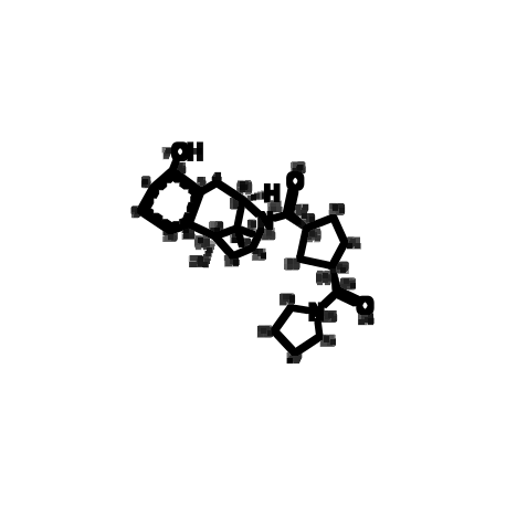 CC1(C)[C@H]2Cc3c(O)cccc3[C@]1(C)CCN2C(=O)[C@H]1CC[C@@H](C(=O)N2CCCC2)C1